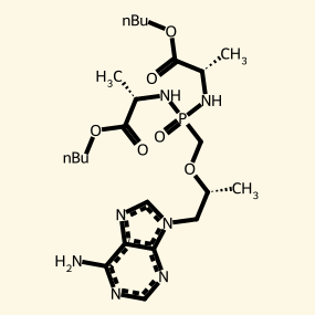 CCCCOC(=O)[C@H](C)NP(=O)(CO[C@H](C)Cn1cnc2c(N)ncnc21)N[C@@H](C)C(=O)OCCCC